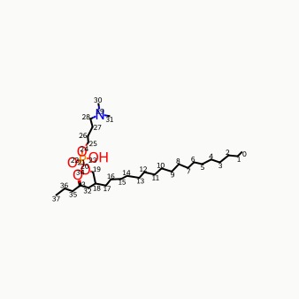 CCCCCCCCCCCCCCCCCCC(COP(=O)(O)OCCCCN(C)C)CC(=O)CCC